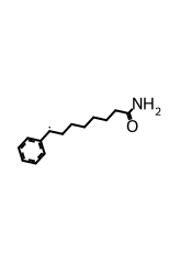 NC(=O)CCCCCC[CH]c1ccccc1